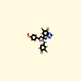 COc1ccc(C2CC(Cn3cncn3)(c3ccc(Cl)c(C)c3)N(Cc3ccc(Cl)c(C)c3)O2)cc1